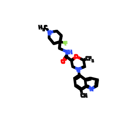 CN1CCC(F)(CNC(=O)C2CN(c3ccc(C#N)c4ncccc34)CC(C(F)(F)F)O2)CC1